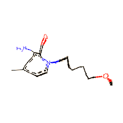 COCCCCn1ccc(C)c(N)c1=O